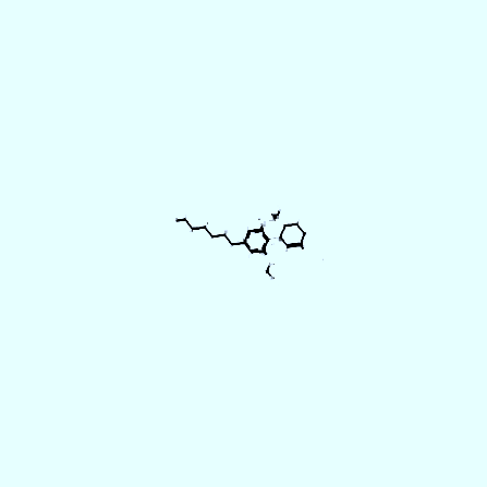 C=C(C)[C@@H]1CCC(C)=C[C@H]1c1c(O)cc(CCCCCCC(C)C)cc1OCCl